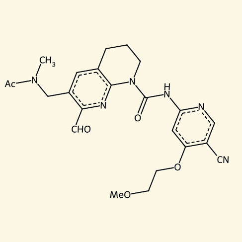 COCCOc1cc(NC(=O)N2CCCc3cc(CN(C)C(C)=O)c(C=O)nc32)ncc1C#N